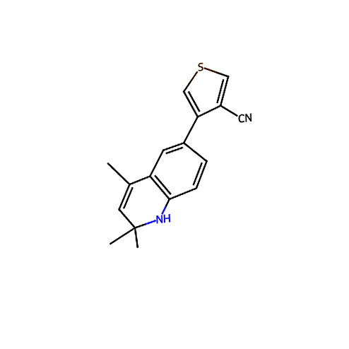 CC1=CC(C)(C)Nc2ccc(-c3cscc3C#N)cc21